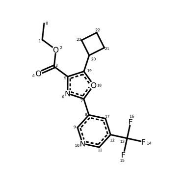 CCOC(=O)c1nc(-c2cncc(C(F)(F)F)c2)oc1C1CCC1